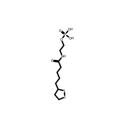 O=C(CCCCC1CCSS1)NCCOP(=O)(O)O